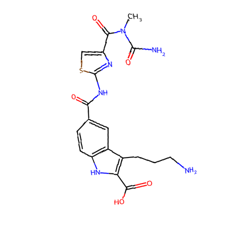 CN(C(N)=O)C(=O)c1csc(NC(=O)c2ccc3[nH]c(C(=O)O)c(CCCN)c3c2)n1